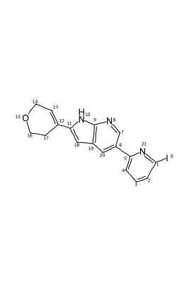 Ic1cccc(-c2cnc3[nH]c(C4=CCOCC4)cc3c2)n1